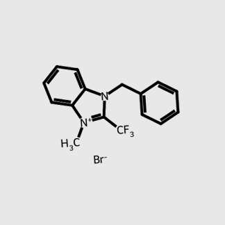 C[n+]1c(C(F)(F)F)n(Cc2ccccc2)c2ccccc21.[Br-]